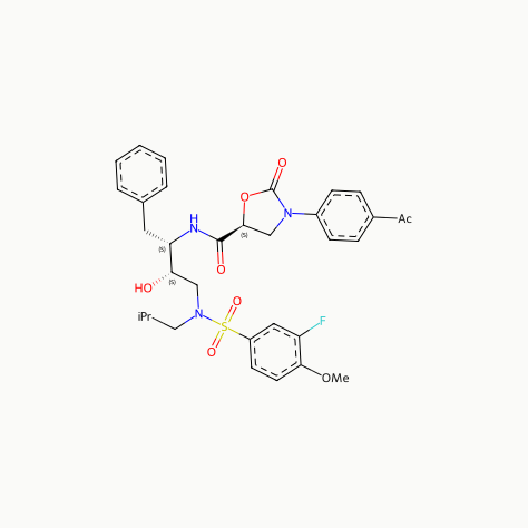 COc1ccc(S(=O)(=O)N(CC(C)C)C[C@H](O)[C@H](Cc2ccccc2)NC(=O)[C@@H]2CN(c3ccc(C(C)=O)cc3)C(=O)O2)cc1F